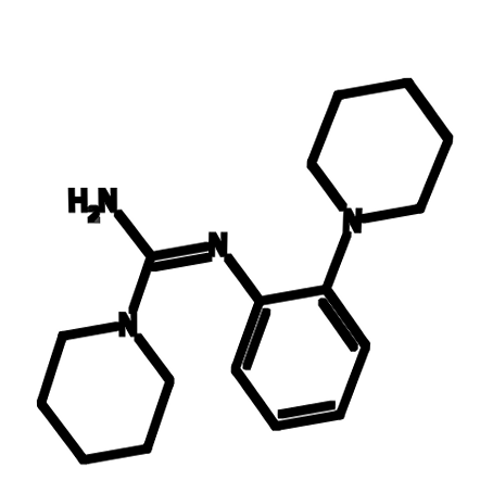 NC(=Nc1ccccc1N1CCCCC1)N1CCCCC1